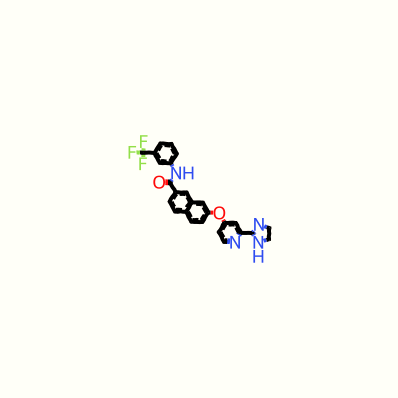 O=C(Nc1cccc(C(F)(F)F)c1)c1ccc2ccc(Oc3ccnc(C4=NCCN4)c3)cc2c1